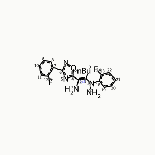 CCCC/C(=C(/N)c1nc(-c2ccccc2F)no1)N(N)c1ccccc1F